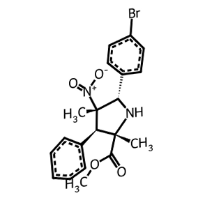 COC(=O)[C@@]1(C)N[C@@H](c2ccc(Br)cc2)[C@@](C)([N+](=O)[O-])[C@@H]1c1ccccc1